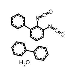 O.O=C=Nc1cccc(-c2ccccc2)c1N=C=O.c1ccc(-c2ccccc2)cc1